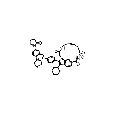 O=C1Cn2c(-c3ccc(OCc4cc(N5CCCC5=O)ccc4N4CCOCC4)cc3)c(C3CCCCC3)c3ccc(cc32)C(=O)NS(=O)(=O)CC/C=C\CCN1